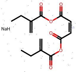 C=C(CC)C(=O)OC(=O)/C=C\C(=O)OC(=O)C(=C)CC.[NaH]